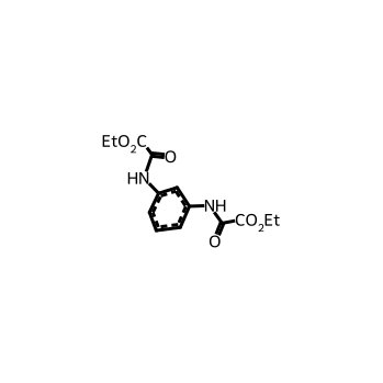 CCOC(=O)C(=O)Nc1cccc(NC(=O)C(=O)OCC)c1